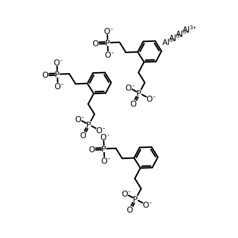 O=P([O-])([O-])CCc1ccccc1CCP(=O)([O-])[O-].O=P([O-])([O-])CCc1ccccc1CCP(=O)([O-])[O-].O=P([O-])([O-])CCc1ccccc1CCP(=O)([O-])[O-].[Al+3].[Al+3].[Al+3].[Al+3]